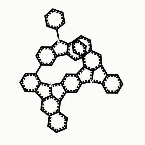 c1ccc(-n2c3ccccc3c3cc(-c4cccc5c6cc7ccccc7c7c8cc9c(cc8n(c45)c67)c4c5ccccc5cc5c6ccccc6n9c54)ccc32)cc1